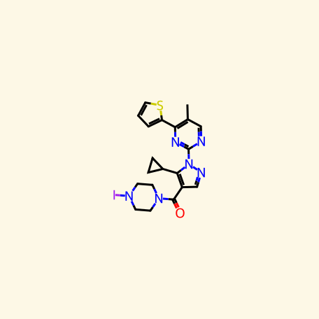 Cc1cnc(-n2ncc(C(=O)N3CCN(I)CC3)c2C2CC2)nc1-c1cccs1